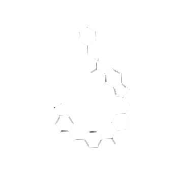 Cc1c(C(=O)NCC2CCCCO2)ccc2nn(CC3CCN(C(=O)c4ccc(Oc5ccc(C(F)(F)F)cc5)cc4)CC3)cc12